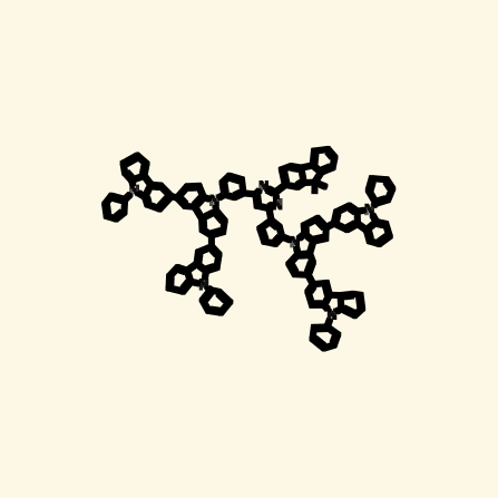 CC1(C)c2ccccc2-c2ccc(-c3nc(-c4cccc(-n5c6ccc(-c7ccc8c(c7)c7ccccc7n8-c7ccccc7)cc6c6cc(-c7ccc8c(c7)c7ccccc7n8-c7ccccc7)ccc65)c4)cc(-c4cccc(-n5c6ccc(-c7ccc8c(c7)c7ccccc7n8-c7ccccc7)cc6c6cc(-c7ccc8c(c7)c7ccccc7n8-c7ccccc7)ccc65)c4)n3)cc21